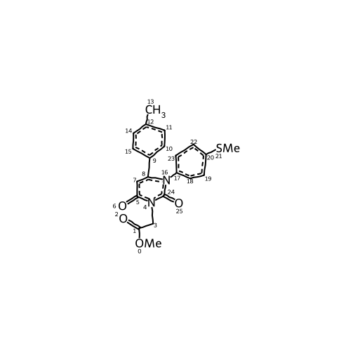 COC(=O)Cn1c(=O)cc(-c2ccc(C)cc2)n(-c2ccc(SC)cc2)c1=O